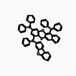 c1ccc(N(c2ccccc2)c2cc3c(c(N(c4ccccc4)c4ccc5c(c4)oc4ccccc45)c2)Sc2cc4ccccc4c(N(c4ccccc4)c4ccccc4)c2O3)cc1